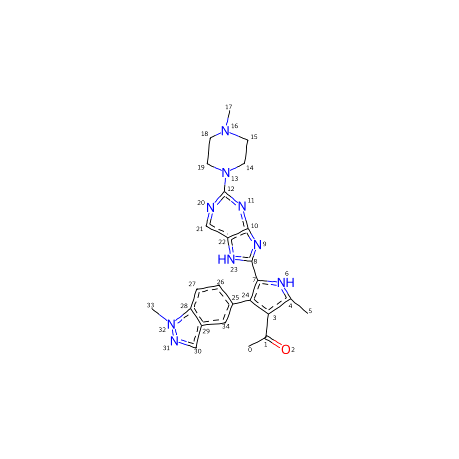 CC(=O)c1c(C)[nH]c(-c2nc3nc(N4CCN(C)CC4)ncc3[nH]2)c1-c1ccc2c(cnn2C)c1